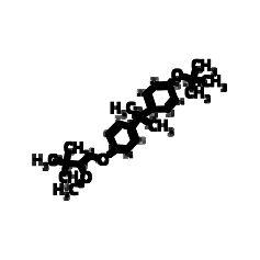 COC(COc1ccc(C(C)(C)c2ccc(OC(C)(C)C)cc2)cc1)C(C)(C)C